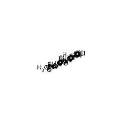 CC(=O)N(C)C1CCN(c2ccc(NC(=O)N3CCC(c4ccc(Cl)cc4)CC3)c(F)c2)C1